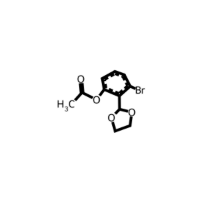 CC(=O)Oc1cccc(Br)c1C1OCCO1